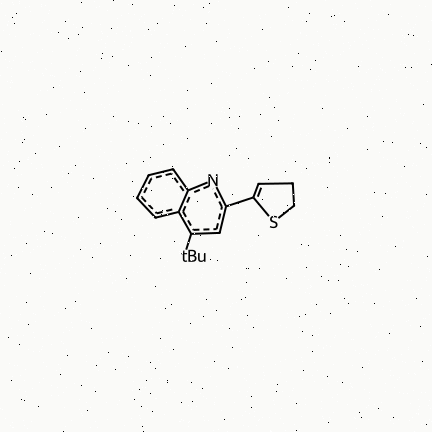 CC(C)(C)c1cc(C2=CCCS2)nc2ccccc12